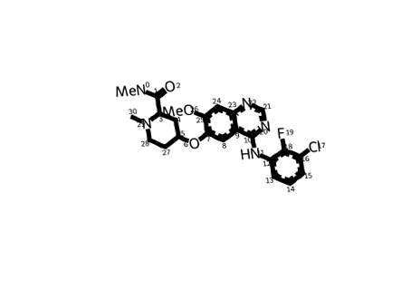 CNC(=O)C1CC(Oc2cc3c(Nc4cccc(Cl)c4F)ncnc3cc2OC)CCN1C